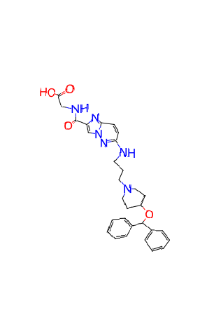 O=C(O)CNC(=O)c1cn2nc(NCCCN3CCC(OC(c4ccccc4)c4ccccc4)CC3)ccc2n1